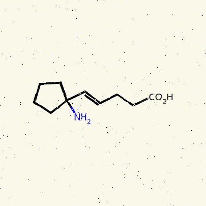 NC1(/C=C/CCC(=O)O)CCCC1